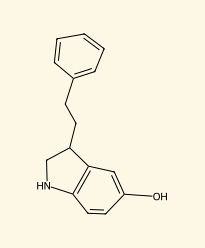 Oc1ccc2c(c1)C(CCc1ccccc1)CN2